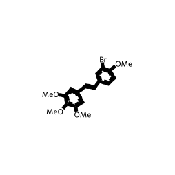 COc1ccc(C=Cc2cc(OC)c(OC)c(OC)c2)cc1Br